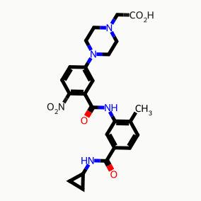 Cc1ccc(C(=O)NC2CC2)cc1NC(=O)c1cc(N2CCN(CC(=O)O)CC2)ccc1[N+](=O)[O-]